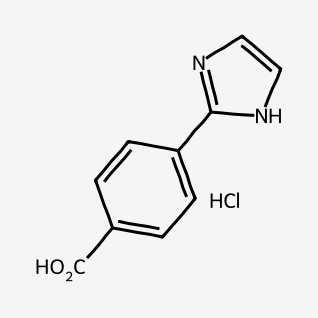 Cl.O=C(O)c1ccc(-c2ncc[nH]2)cc1